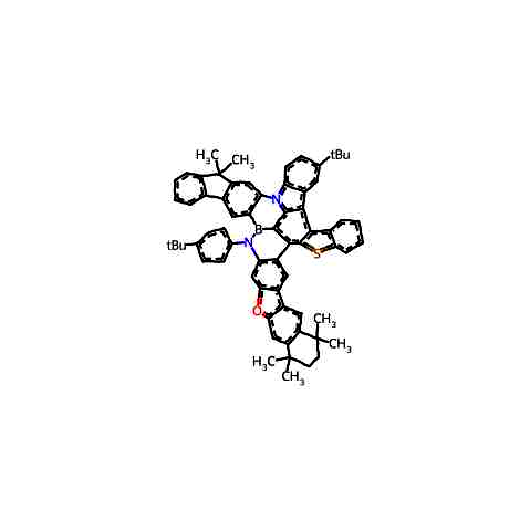 CC(C)(C)c1ccc(N2B3c4cc5c(cc4-n4c6ccc(C(C)(C)C)cc6c6c7c(sc8ccccc87)c(c3c64)-c3cc4c(cc32)oc2cc3c(cc24)C(C)(C)CCC3(C)C)C(C)(C)c2ccccc2-5)cc1